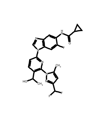 Cc1cc(C(F)F)nn1-c1nc(-n2cnc3cc(NC(=O)C4CC4)c(F)cc32)ccc1C(C)O